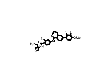 CCc1cc(NC2=NC=CCC3CC(c4ccc(OC)c(F)c4F)=CN=C23)ccc1C(=O)NC1(CN)COC1